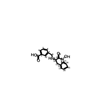 O=C(O)c1cccc(CNC(Cc2ccccc2)C(=O)NO)c1